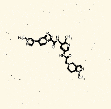 Cc1ncc(NC(=O)CN2CCc3c(cnn3C)C2)cc1NC(=O)c1nnc2cc(-c3cnn(C)c3)ccn12